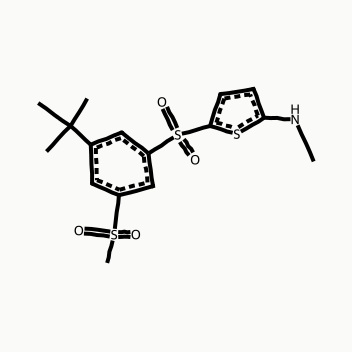 CNc1ccc(S(=O)(=O)c2cc(C(C)(C)C)cc(S(C)(=O)=O)c2)s1